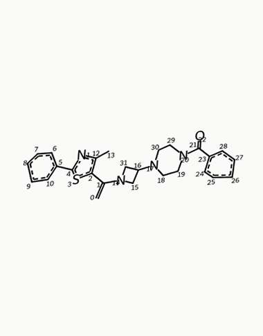 C=C(c1sc(-c2ccccc2)nc1C)N1CC(N2CCN(C(=O)c3ccccc3)CC2)C1